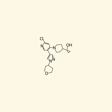 OC1(C2CCN(c3cc(Cl)ncc3-c3cnn(C4CCOCC4)c3)CC2)CC1